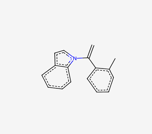 C=C(c1ccccc1C)n1ccc2ccccc21